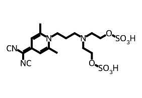 [C-]#[N+]C([N+]#[C-])=C1C=C(C)N(CCCN(CCOS(=O)(=O)O)CCOS(=O)(=O)O)C(C)=C1